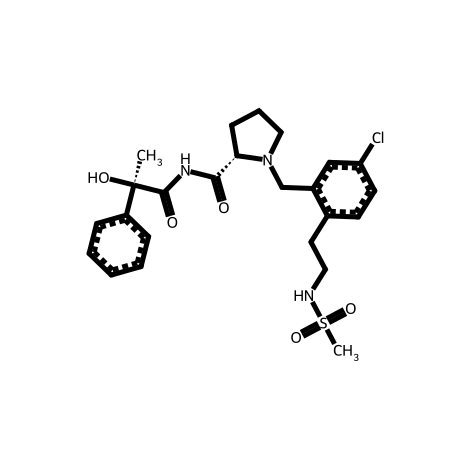 C[C@](O)(C(=O)NC(=O)[C@@H]1CCCN1Cc1cc(Cl)ccc1CCNS(C)(=O)=O)c1ccccc1